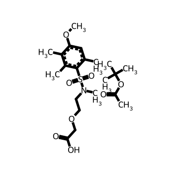 CC(=O)OC(C)(C)C.COc1cc(C)c(S(=O)(=O)N(C)CCOCC(=O)O)c(C)c1C